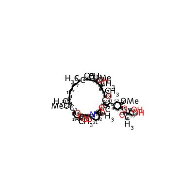 C=C1[C@H](C)C[C@H](C)/C=C/C=C/C=C(\C)[C@@H](OC)CC2CC[C@@H](C)[C@@](O)(O2)C(=O)C(=O)N2CCCC[C@H]2C(=O)O[C@H]([C@H](C)C[C@@H]2CC[C@@H](OC(=O)C(C)(CO)CO)[C@H](OC)C2)CC(=O)[C@H](C)/C=C(\C)[C@@H](O)[C@H]1OC